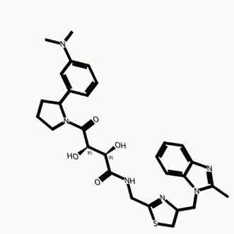 Cc1nc2ccccc2n1CC1CSC(CNC(=O)[C@H](O)[C@@H](O)C(=O)N2CCCC2c2cccc(N(C)C)c2)=N1